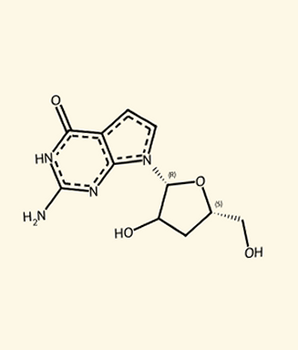 Nc1nc2c(ccn2[C@@H]2O[C@H](CO)CC2O)c(=O)[nH]1